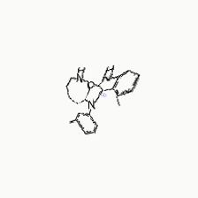 Cc1cccc(N(/C=C2\C(=O)Nc3cccc(C)c32)C2CCCCNCC2)c1